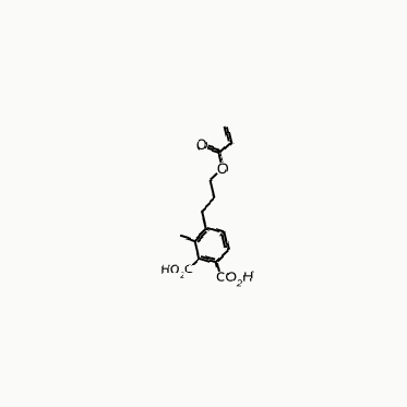 C=CC(=O)OCCCc1ccc(C(=O)O)c(C(=O)O)c1C